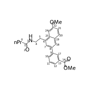 CCCC(=O)NCCc1cc(-c2cccc(C(=O)OC)c2)cc2ccc(OC)cc12